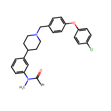 CC(C)C(=O)N(C)c1cccc(C2CCN(Cc3ccc(Oc4ccc(Cl)cc4)cc3)CC2)c1